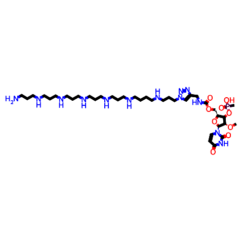 CO[C@H]1C(OP(C)(=O)O)[C@@H](COC(=O)NCc2cn(CCCNCCCCNCCCNCCCNCCCNCCCNCCCN)nn2)O[C@H]1n1ccc(=O)[nH]c1=O